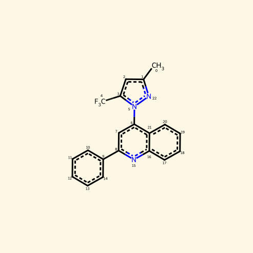 Cc1cc(C(F)(F)F)n(-c2cc(-c3ccccc3)nc3ccccc23)n1